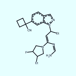 CCC1CN(C(=C/C(CC)n2ncc3ccc(C4(C#N)CCC4)cc32)/N=C\N)CC1F